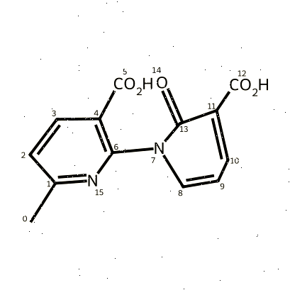 Cc1ccc(C(=O)O)c(-n2cccc(C(=O)O)c2=O)n1